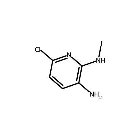 Nc1ccc(Cl)nc1NI